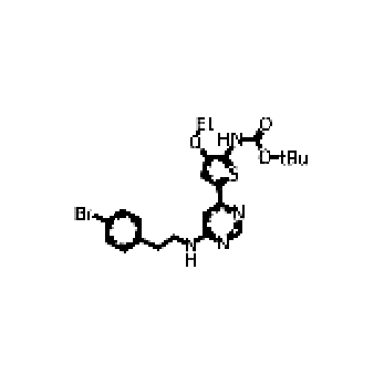 CCOc1cc(-c2cc(NCCc3ccc(Br)cc3)ncn2)sc1NC(=O)OC(C)(C)C